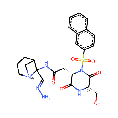 NN=CC1(NC(=O)C[C@H]2C(=O)N[C@@H](CO)C(=O)N2S(=O)(=O)c2ccc3ccccc3c2)C2CCC[N@@]1C2